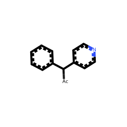 CC(=O)C(c1ccccc1)c1ccncc1